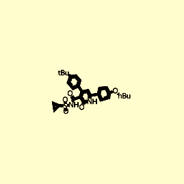 CCCCOc1ccc(-c2cc(-c3ccc(C(C)(C)C)cc3)c(C(=O)NS(=O)(=O)C3CC3)c(=O)[nH]2)cc1